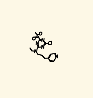 CCN(CCCc1ccncc1)c1nc(Cl)nc(S(C)(=O)=O)n1